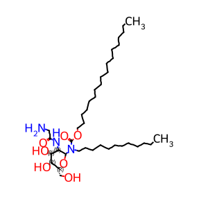 CCCCCCCCCCCCCCCCCCOC(=O)N(CCCCCCCCCCCC)C1O[C@H](CO)[C@H](O)[C@H](O)[C@H]1NC(=O)CN